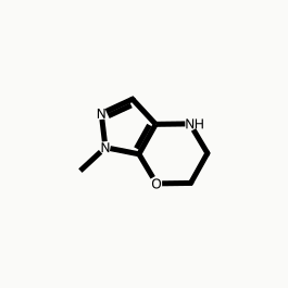 Cn1ncc2c1OCCN2